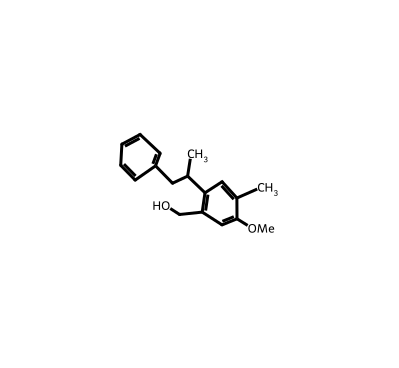 COc1cc(CO)c(C(C)Cc2ccccc2)cc1C